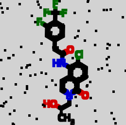 C[C@H](O)Cn1ccc2c(NC(=O)Cc3ccc(C(F)(F)F)c(F)c3)c(Cl)ccc2c1=O